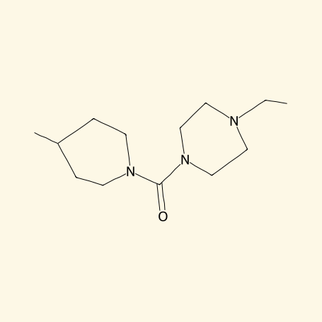 CCN1CCN(C(=O)N2CCC(C)CC2)CC1